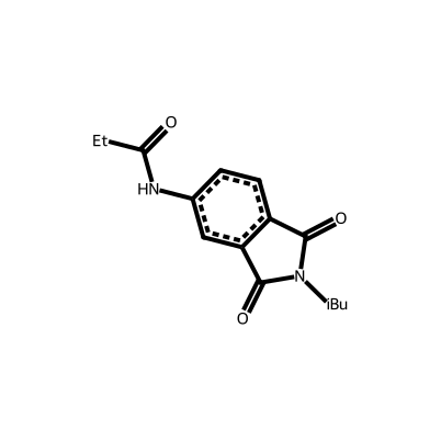 CCC(=O)Nc1ccc2c(c1)C(=O)N(C(C)CC)C2=O